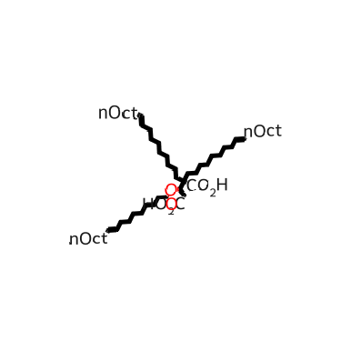 CCCCCCCCC=CCCCCCCCCC(CCCCCCCCC=CCCCCCCCC)(C(=O)O)C(CC(=O)O)OC(=O)CCCCCCCC=CCCCCCCCC